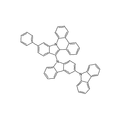 c1ccc(-c2ccc3c(-n4c5ccccc5c5cc(-n6c7ccccc7c7ccccc76)ccc54)c4c5ccccc5c5ccccc5n4c3c2)cc1